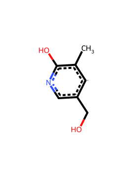 Cc1[c]c(CO)cnc1O